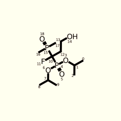 CC(C)OP(=O)(OC(C)C)C(F)(CCO)P(C)(C)=O